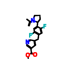 C=C(C)N1CCCC1c1cc(F)c(Cc2cncc(C(=O)OC)c2)cc1F